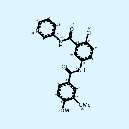 COc1ccc(C(=O)Nc2ccc(Cl)c(C(=O)Nc3cccnc3)c2)cc1OC